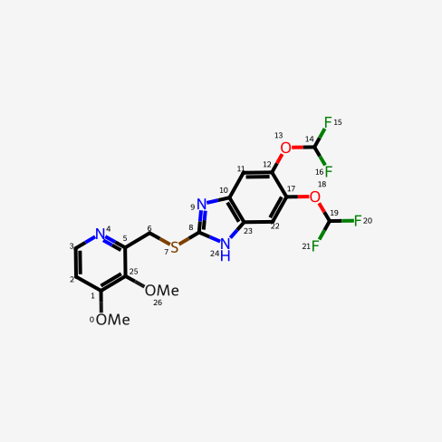 COc1ccnc(CSc2nc3cc(OC(F)F)c(OC(F)F)cc3[nH]2)c1OC